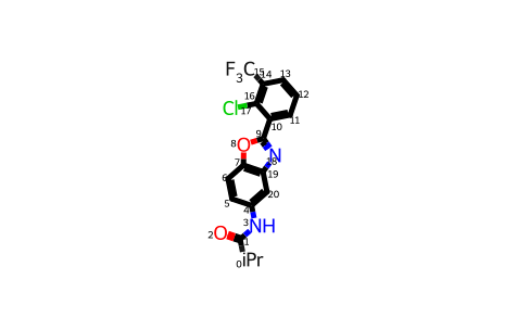 CC(C)C(=O)Nc1ccc2oc(-c3cccc(C(F)(F)F)c3Cl)nc2c1